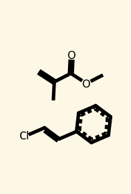 C=C(C)C(=O)OC.ClC=Cc1ccccc1